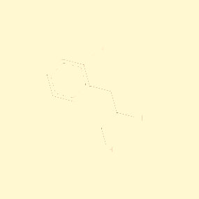 CC(CO)Cc1ccccc1O